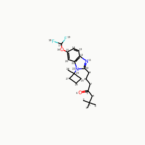 CC(C)(C)CC(=O)CCCc1nc2ccc(OC(F)F)cc2n1C1(C)CCC1